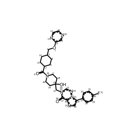 O=C(C1CCC(COc2cnccn2)CC1)N1CCC(O)(Cn2cnn3c(-c4ccc(F)cc4)cnc3c2=O)CC1